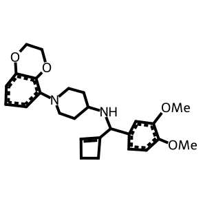 COc1ccc(C(NC2CCN(c3cccc4c3OCCO4)CC2)C2=CCC2)cc1OC